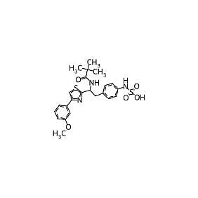 COc1cccc(-c2csc(C(Cc3ccc(NS(=O)(=O)O)cc3)NC(=O)C(C)(C)C)n2)c1